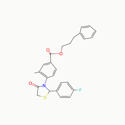 Cc1cc(C(=O)OCCCc2ccccc2)ccc1N1C(=O)CSC1c1ccc(F)cc1